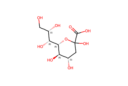 O=C(O)C1(O)C[C@H](O)[C@@H](O)[C@H]([C@H](O)[C@@H](O)CO)O1